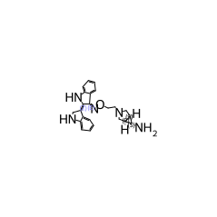 N[C@@H]1[C@H]2CN(CCO/N=C3/C(=C4/CNc5ccccc54)Nc4ccccc43)C[C@@H]12